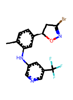 Cc1ccc([C@H]2CC(Br)=NO2)cc1Nc1cncc(C(F)(F)F)c1